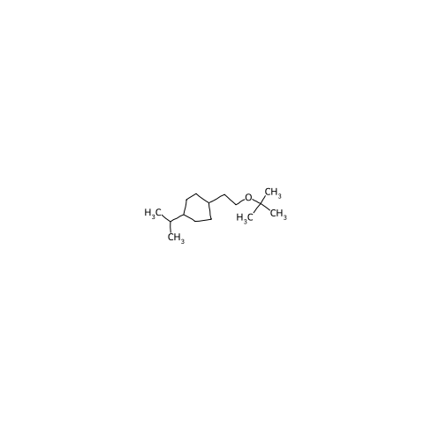 CC(C)C1CCC(CCOC(C)(C)C)CC1